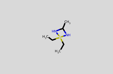 CCS1(CC)NC(C)N1